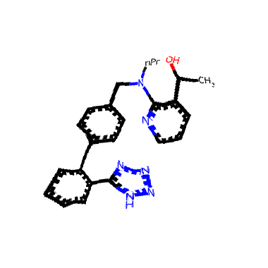 CCCN(Cc1ccc(-c2ccccc2-c2nnn[nH]2)cc1)c1ncccc1C(C)O